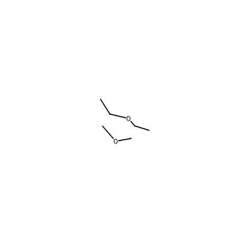 CCOCC.COC